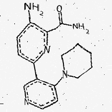 NC(=O)c1nc(-c2cnccc2N2CCCCC2)ccc1N